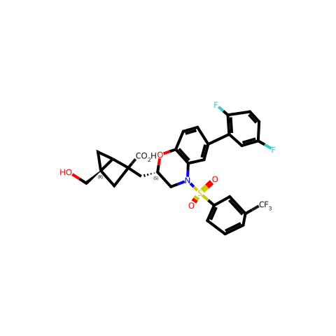 O=C(O)C1(C[C@H]2CN(S(=O)(=O)c3cccc(C(F)(F)F)c3)c3cc(-c4cc(F)ccc4F)ccc3O2)C[C@]2(CO)CC12